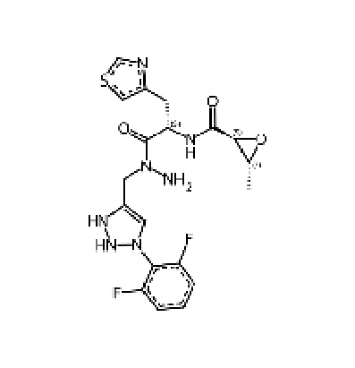 C[C@H]1O[C@@H]1C(=O)N[C@@H](Cc1cscn1)C(=O)N(N)CC1=CN(c2c(F)cccc2F)NN1